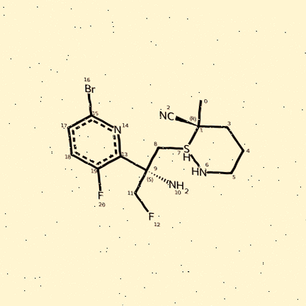 C[C@]1(C#N)CCCN[SH]1C[C@@](N)(CF)c1nc(Br)ccc1F